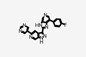 Fc1ccc(-c2cncc3[nH]c(-c4n[nH]c5cnc(-c6cncnc6)cc45)nc23)cc1